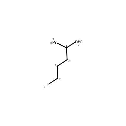 CCCC(CCC)CCCI